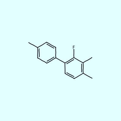 Cc1ccc(-c2ccc(C)c(C)c2F)cc1